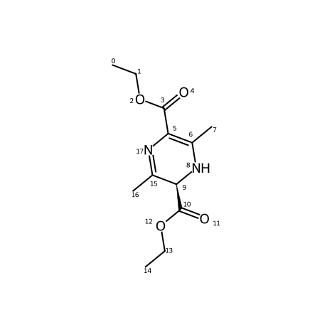 CCOC(=O)C1=C(C)N[C@@H](C(=O)OCC)C(C)=N1